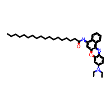 CCCCCCCCCCCCCCCCCC(=O)N=c1cc2oc3cc(N(CC)CC)ccc3nc-2c2ccccc12